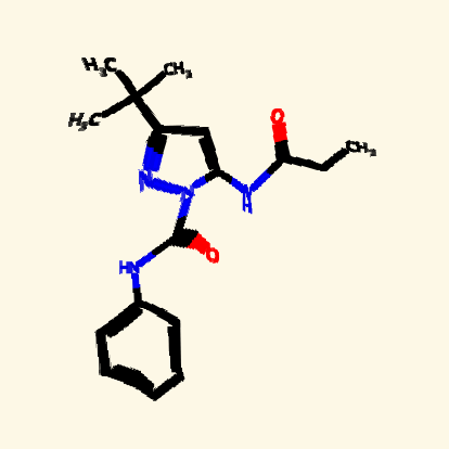 CCC(=O)Nc1cc(C(C)(C)C)nn1C(=O)Nc1ccccc1